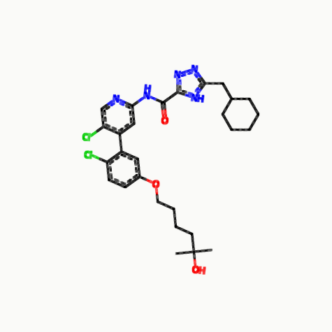 CC(C)(O)CCCCOc1ccc(Cl)c(-c2cc(NC(=O)c3nnc(CC4CCCCC4)[nH]3)ncc2Cl)c1